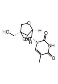 Cc1cn([C@@H]2O[C@@]3(CO)CO[C@@H]2[C@H]3O)c(=O)[nH]c1=O